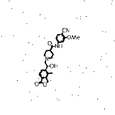 COc1cc(NC(=O)C2CCN(C[C@H](O)c3ccc4c(c3C)COC4=O)CC2)ccc1C#N